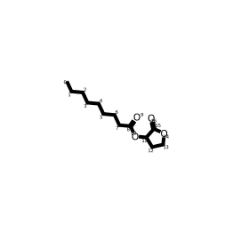 CCCCCCCCC(=O)OC1CCOC1=O